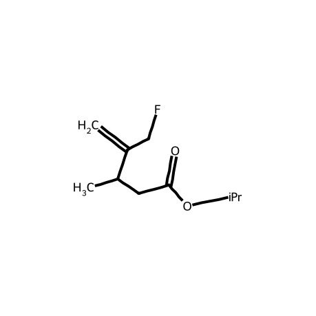 C=C(CF)C(C)CC(=O)OC(C)C